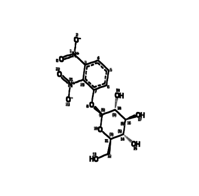 O=[N+]([O-])c1cccc(O[C@@H]2O[C@H](CO)[C@@H](O)[C@H](O)[C@H]2O)c1[N+](=O)[O-]